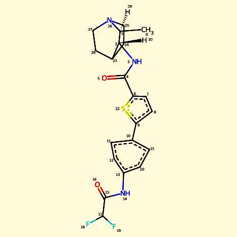 C[C@H]1[C@H](NC(=O)c2ccc(-c3ccc(NC(=O)C(F)F)cc3)s2)C2CCN1CC2